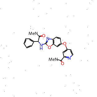 CNC(=O)c1cc(Oc2ccc3nc(N[C@H](C(=O)NC)c4ccccc4)oc3c2)ccn1